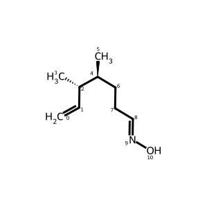 C=C[C@H](C)[C@@H](C)CC/C=N/O